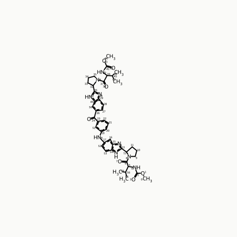 COC(=O)NC(C(=O)N1CCCC1c1nc2cc(Nc3cccc(C(=O)c4ccc5nc(C6CCCN6C(=O)C(NC(=O)OC)C(C)C)[nH]c5c4)c3)ccc2[nH]1)C(C)C